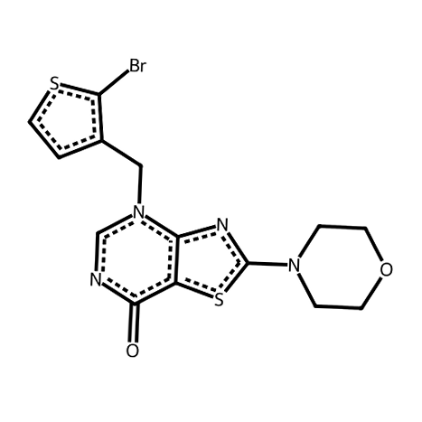 O=c1ncn(Cc2ccsc2Br)c2nc(N3CCOCC3)sc12